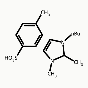 CCCCN1C=CN(C)C1C.Cc1ccc(S(=O)(=O)O)cc1